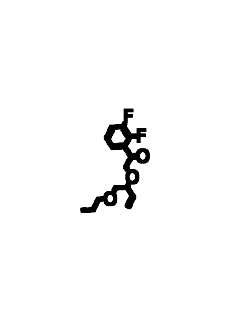 C=CC(COCCC)OCC(=O)c1cccc(F)c1F